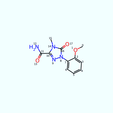 COc1ccccc1-n1nc(C(N)=O)n(C)c1=O